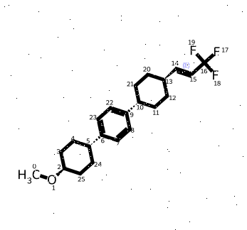 CO[C@H]1CC[C@H](c2ccc([C@H]3CC[C@H](/C=C/C(F)(F)F)CC3)cc2)CC1